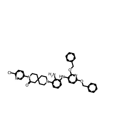 Nc1c(Nc2ccc(OCc3ccccc3)nc2OCc2ccccc2)cccc1N1CCC2(CC1)CCN(c1ccc(Cl)nc1)C(=O)C2